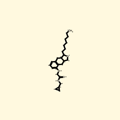 CCCCCCCCC1OCC2Cc3c(cccc3OCC(=O)OCC3CC3)CC21